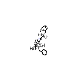 O=C(/C=C/C(=O)NC(Cc1ccccc1)B(O)O)NCc1cnccn1